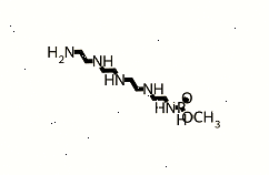 CO[PH](=O)NCCNCCNCCNCCN